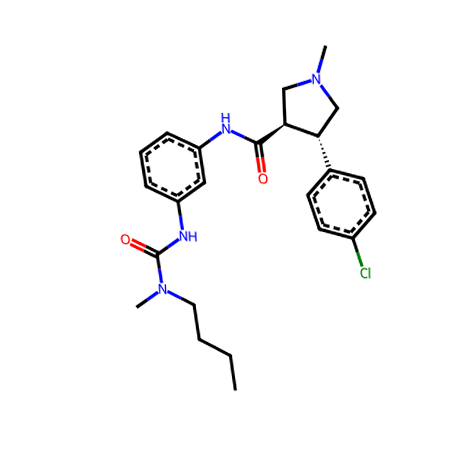 CCCCN(C)C(=O)Nc1cccc(NC(=O)[C@H]2CN(C)C[C@@H]2c2ccc(Cl)cc2)c1